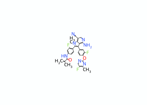 C=C(C)C(=O)Nc1ccc(-c2c(-c3ccc(Oc4ncc(F)c(C)n4)c(F)c3)c3c(N)ncc(C#N)c3n2C)c(F)c1